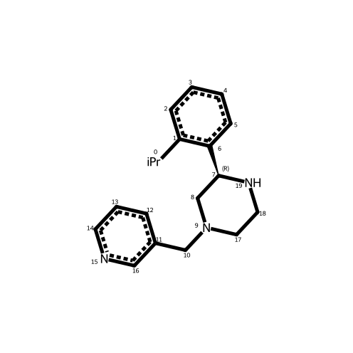 CC(C)c1ccccc1[C@@H]1CN(Cc2cccnc2)CCN1